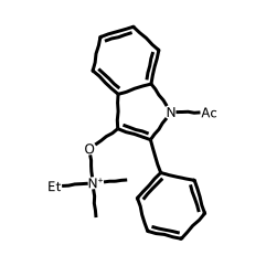 CC[N+](C)(C)Oc1c(-c2ccccc2)n(C(C)=O)c2ccccc12